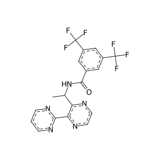 CC(NC(=O)c1cc(C(F)(F)F)cc(C(F)(F)F)c1)c1nccnc1-c1ncccn1